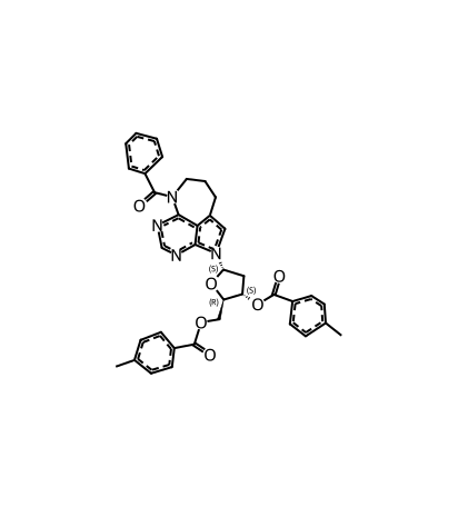 Cc1ccc(C(=O)OC[C@H]2O[C@H](n3cc4c5c(ncnc53)N(C(=O)c3ccccc3)CCC4)C[C@@H]2OC(=O)c2ccc(C)cc2)cc1